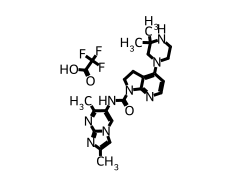 Cc1cn2cc(NC(=O)N3CCc4c(N5CCNC(C)(C)C5)ccnc43)c(C)nc2n1.O=C(O)C(F)(F)F